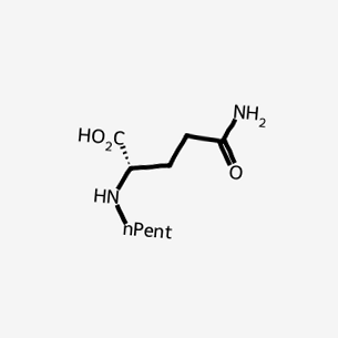 CCCCCN[C@@H](CCC(N)=O)C(=O)O